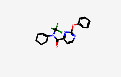 O=C(c1ccnc(Oc2ccccc2)n1)N(C1=CCCCC1)C(F)(F)F